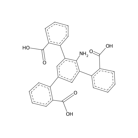 Nc1c(-c2ccccc2C(=O)O)cc(-c2ccccc2C(=O)O)cc1-c1ccccc1C(=O)O